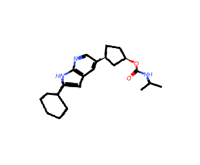 CC(C)NC(=O)O[C@@H]1CC[C@H](c2cnc3[nH]c(C4CCCCC4)cc3c2)C1